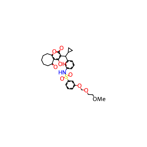 COCCOCOc1cccc(S(=O)(=O)Nc2cccc(C(c3c(O)c4c(oc3=O)CCCCCC4=O)C3CC3)c2)c1